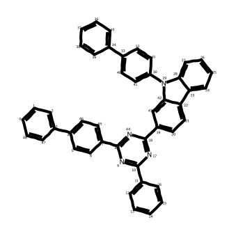 c1ccc(-c2ccc(-c3nc(-c4ccccc4)nc(-c4ccc5c6ccccc6n(-c6ccc(-c7ccccc7)cc6)c5c4)n3)cc2)cc1